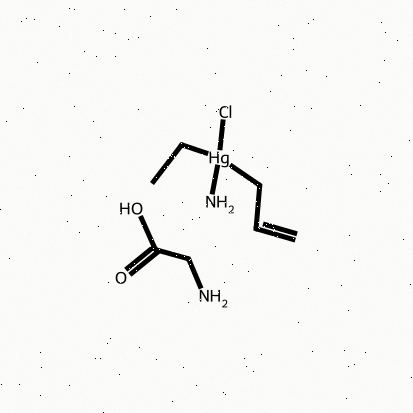 C=C[CH2][Hg]([NH2])([Cl])[CH2]C.NCC(=O)O